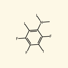 CN(I)c1c(F)c(I)c(F)c(F)c1I